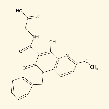 COc1ccc2c(n1)c(O)c(C(=O)NCC(=O)O)c(=O)n2Cc1ccccc1